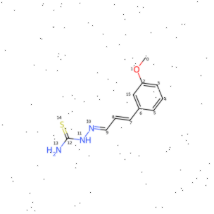 COc1cccc(/C=C/C=N/NC(N)=S)c1